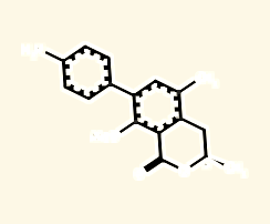 COc1c(-c2ccc(N)cc2)cc(C)c2c1C(=O)O[C@H](C)C2